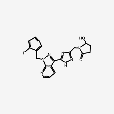 O=C1CCC(O)N1Cc1n[nH]c(-c2nn(Cc3ccccc3F)c3ncccc23)n1